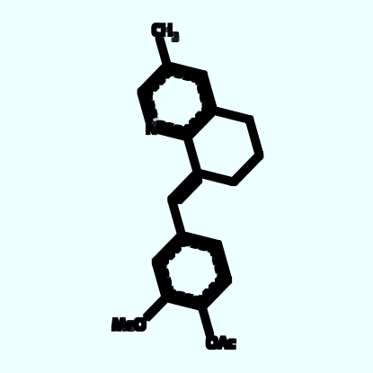 COc1cc(C=C2CCCc3cc(C)cnc32)ccc1OC(C)=O